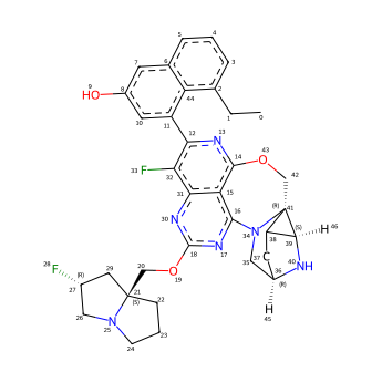 CCc1cccc2cc(O)cc(-c3nc4c5c(nc(OC[C@@]67CCCN6C[C@H](F)C7)nc5c3F)N3C[C@H]5CC6[C@H](N5)[C@@]63CO4)c12